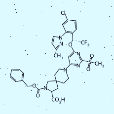 Cc1ccn(-c2cc(Cl)ccc2[C@@H](Oc2cc(N3CCC4(CC3)CC(C(=O)O)N(C(=O)OCc3ccccc3)C4)nc(S(C)(=O)=O)n2)C(F)(F)F)n1